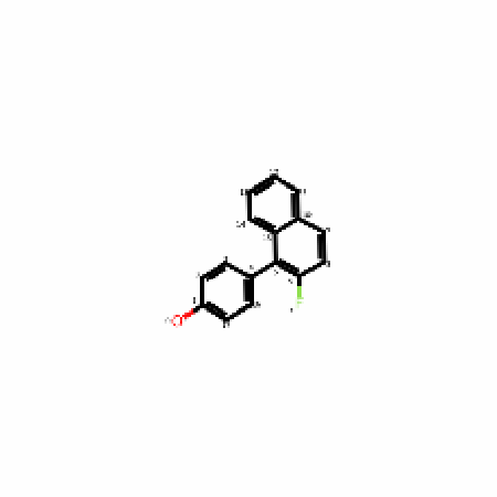 [O]c1ccc(-c2c(F)ccc3ccccc23)cc1